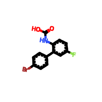 O=C(O)Nc1ccc(F)cc1-c1ccc(Br)cc1